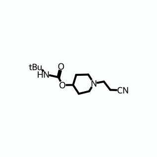 CC(C)(C)NC(=O)OC1CCN(CCC#N)CC1